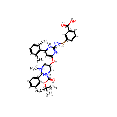 Cc1cccc(C)c1-c1cc(OC(CNC(=O)OC(C)(C)C)CN(C)Cc2ccccc2)nc(NSc2cccc(C(=O)O)c2)n1